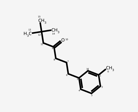 Cc1cccc(CCCC(=O)CC(C)(C)C)c1